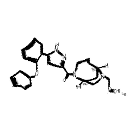 C=NCN1C[C@H]2C[C@@H]1CCN2C(=O)c1cc(-c2ccccc2Oc2ccccc2)[nH]n1